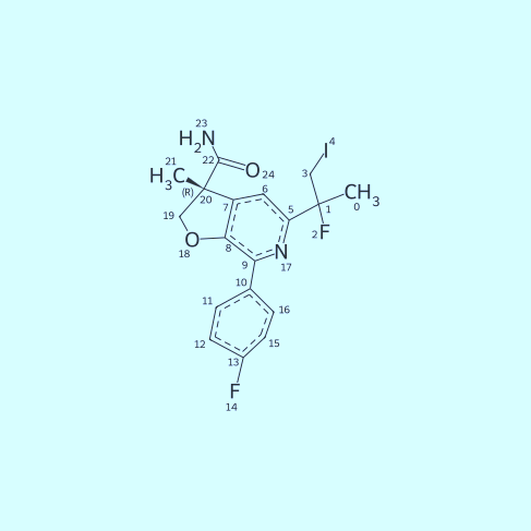 CC(F)(CI)c1cc2c(c(-c3ccc(F)cc3)n1)OC[C@]2(C)C(N)=O